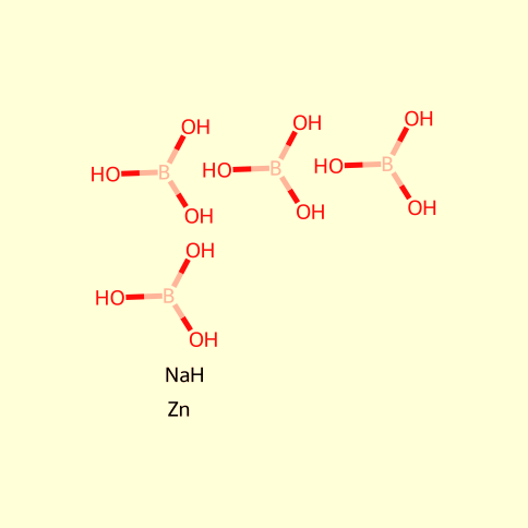 OB(O)O.OB(O)O.OB(O)O.OB(O)O.[NaH].[Zn]